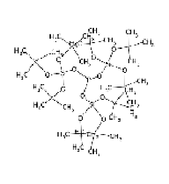 CC(C)(C)O[Si](OP(O[Si](OC(C)(C)C)(OC(C)(C)C)OC(C)(C)C)O[Si](OC(C)(C)C)(OC(C)(C)C)OC(C)(C)C)(OC(C)(C)C)OC(C)(C)C